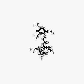 CNC(=NC(=O)COc1c(C)cc(C)cc1C)N(C(=O)O)C(C)(C)C